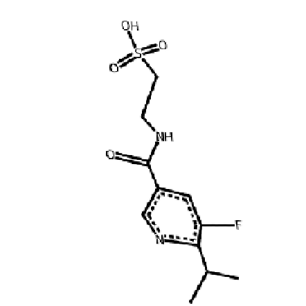 CC(C)c1ncc(C(=O)NCCS(=O)(=O)O)cc1F